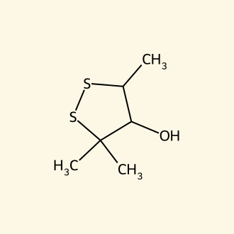 CC1SSC(C)(C)C1O